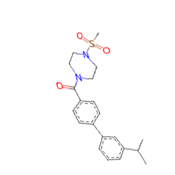 CC(C)c1cccc(-c2ccc(C(=O)N3CCN(S(C)(=O)=O)CC3)cc2)c1